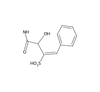 [NH]C(=O)C(O)C(=Cc1ccccc1)S(=O)(=O)O